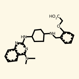 CN(C)c1nc(NC2CCC(NCc3ccccc3OCC(=O)O)CC2)nc2ccccc12